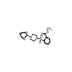 COC(=O)c1ccccc1S(=O)(=O)N1CCN(c2ncccn2)CC1